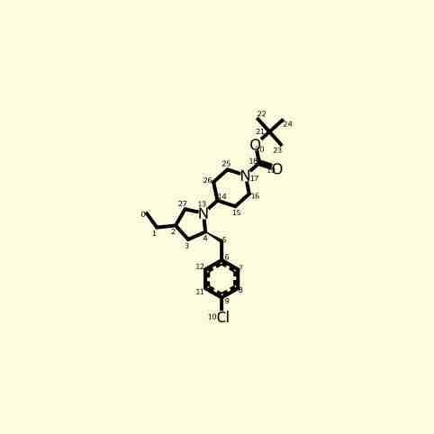 CCC1C[C@H](Cc2ccc(Cl)cc2)N(C2CCN(C(=O)OC(C)(C)C)CC2)C1